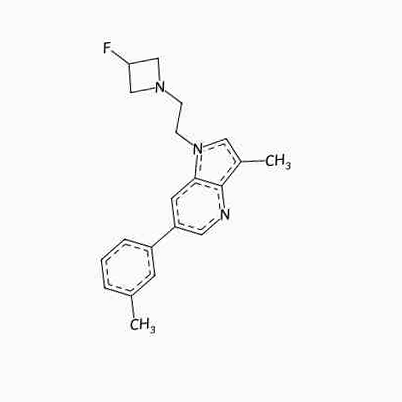 Cc1cccc(-c2cnc3c(C)cn(CCN4CC(F)C4)c3c2)c1